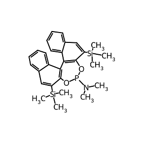 CN(C)p1oc2c([Si](C)(C)C)cc3ccccc3c2c2c(o1)c([Si](C)(C)C)cc1ccccc12